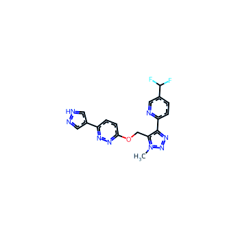 Cn1nnc(-c2ccc(C(F)F)cn2)c1COc1ccc(-c2cn[nH]c2)nn1